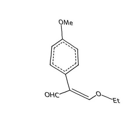 CCO/C=C(/C=O)c1ccc(OC)cc1